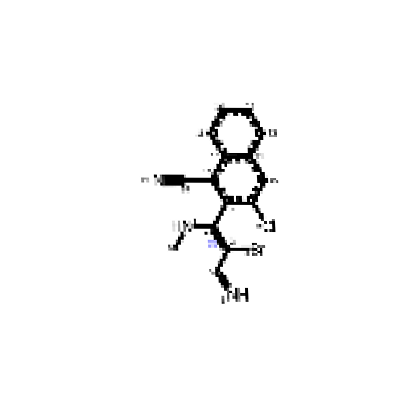 CN/C(=C(/Br)C=N)c1c(Cl)cc2ccccc2c1C#N